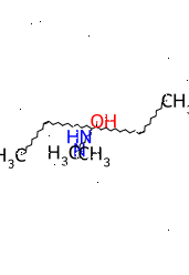 CCCCCCCC/C=C\CCCCCCCCC(O)C(CCCCCCCC/C=C\CCCCCCCC)CNCCN(C)C